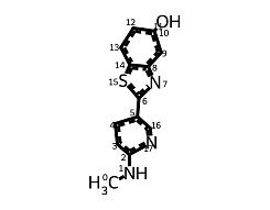 CNc1ccc(-c2nc3cc(O)ccc3s2)cn1